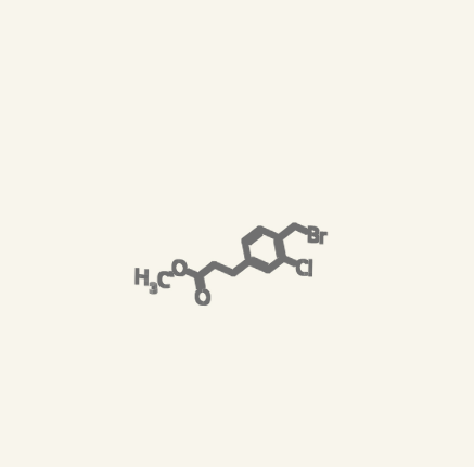 COC(=O)CCc1ccc(CBr)c(Cl)c1